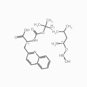 CC(C)(C)OC(=O)N[C@@H](Cc1ccc2ccccc2n1)C(=O)O.CC(C)C[C@H](N)OBO